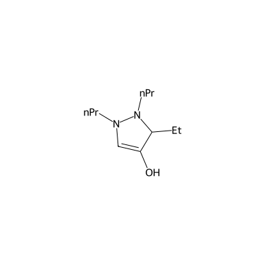 CCCN1C=C(O)C(CC)N1CCC